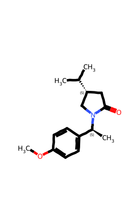 COc1ccc([C@H](C)N2C[C@H](C(C)C)CC2=O)cc1